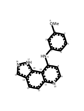 COc1cccc(Nc2ccnc3ccc4cn[nH]c4c23)c1